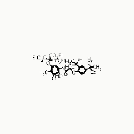 CCOC(=O)C(Oc1cc(NC(=O)COc2ccc(C(C)(C)CC)cc2C(C)(C)CC)c(O)c(Cl)c1C)(C(=O)OCC)C(=O)OCC